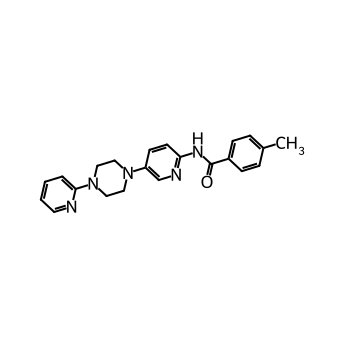 Cc1ccc(C(=O)Nc2ccc(N3CCN(c4ccccn4)CC3)cn2)cc1